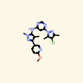 COc1ccc(-c2nn(C)c(Nc3cc(-n4nc(C)c(Cl)c4C)ncn3)c2C)cn1